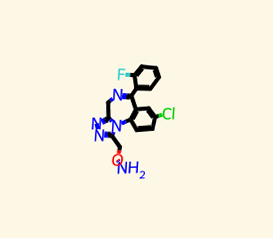 NOCc1nnc2n1-c1ccc(Cl)cc1C(c1ccccc1F)=NC2